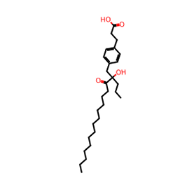 CCCCCCCCCCCCCC(=O)C(O)(CCC)Cc1ccc(CCC(=O)O)cc1